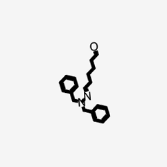 O=CCCCCC=NN(Cc1ccccc1)Cc1ccccc1